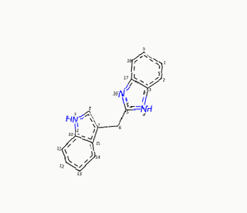 c1ccc2[nH]c(Cc3c[nH]c4ccccc34)nc2c1